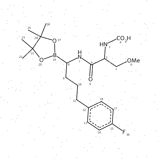 COCC(NC(=O)O)C(=O)NC(CCCc1ccc(F)cc1)B1OC(C)(C)C(C)(C)O1